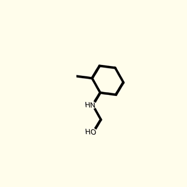 CC1CCCCC1NCO